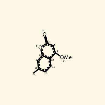 COc1cc(=O)oc2cc(C)ccc12